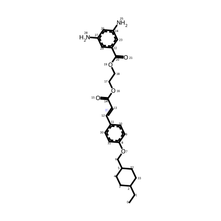 CCC1CCC(COc2ccc(/C=C/C(=O)OCCOC(=O)c3cc(N)cc(N)c3)cc2)CC1